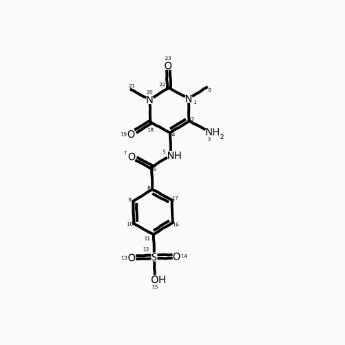 Cn1c(N)c(NC(=O)c2ccc(S(=O)(=O)O)cc2)c(=O)n(C)c1=O